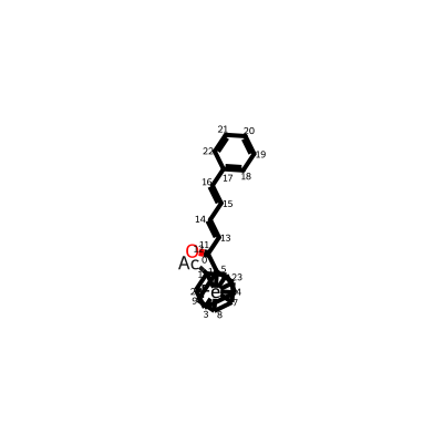 CC(=O)[C]12[CH]3[CH]4[CH]5[CH]1[Fe]45321678[CH]2[CH]1[CH]6[C]7(C(=O)C=CC=Cc1ccccc1)[CH]28